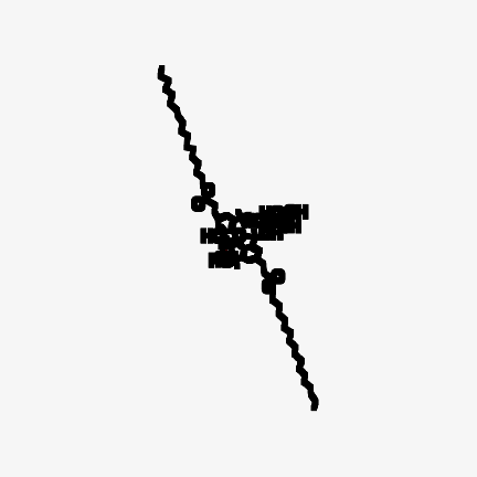 CCCCCCCCCCCCCCCCCCOC(=O)CCc1cc(C(C)(C)C)c(OC(c2c(C(C)(C)C)cc(CCC(=O)OCCCCCCCCCCCCCCCCCC)cc2C(C)(C)C)C(CO)(CO)CO)c(C(C)(C)C)c1.OP(O)O.OP(O)O